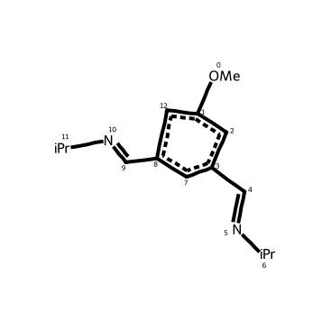 COc1cc(/C=N/C(C)C)cc(/C=N/C(C)C)c1